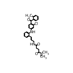 Cc1ccccc1C(=O)c1ccc(Nc2ccccc2C=CCNC(=O)CCC(=O)N(C)C)cc1Cl